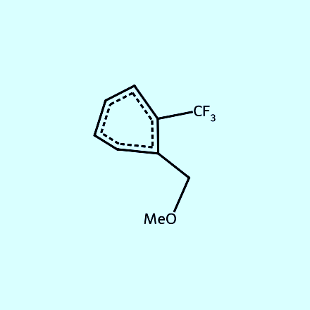 COCc1ccccc1C(F)(F)F